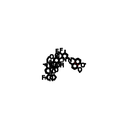 COc1ccc(CN(Cc2ccc(OC)cc2)c2cc(C)c(C(F)(F)F)c(-c3c(Cl)c4c5c(nc(OC[C@@]67CCCN6C[C@H](F)C7)nc5c3F)N([C@H](C)c3cccnc3NC(=O)O)CCO4)n2)cc1